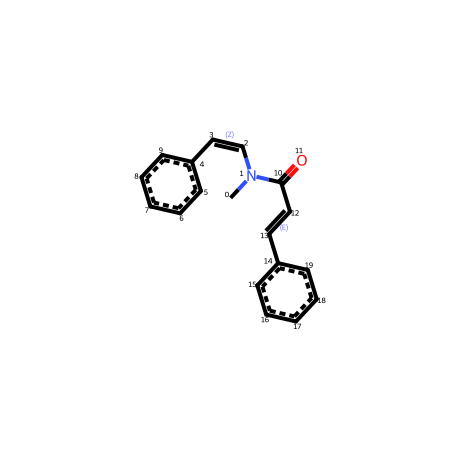 CN(/C=C\c1ccccc1)C(=O)/C=C/c1ccccc1